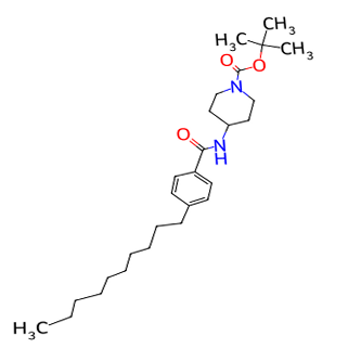 CCCCCCCCCCc1ccc(C(=O)NC2CCN(C(=O)OC(C)(C)C)CC2)cc1